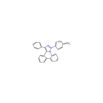 C=C/C=C\C(=C/C)c1nc(-c2ccccc2)c2c3ccccc3c3ccccc3n12